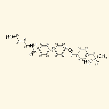 CC(C)(F)CN1CCC(COc2ccc(-c3ccc(C(=O)NCCCCO)cc3)cc2)CC1